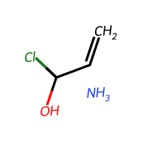 C=CC(O)Cl.N